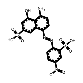 Nc1ccc(N=Nc2ccc([N+](=O)[O-])cc2S(=O)(=O)O)c2cc(S(=O)(=O)O)cc(O)c12